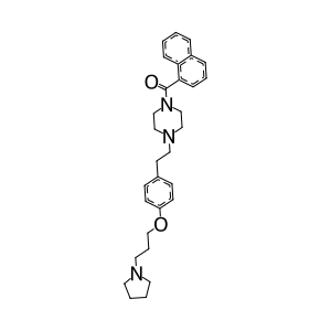 O=C(c1cccc2ccccc12)N1CCN(CCc2ccc(OCCCN3CCCC3)cc2)CC1